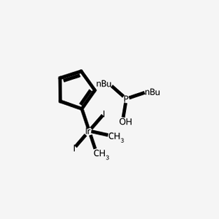 CCCCP(O)CCCC.[CH3][Ir]([CH3])([I])([I])[C]1=CC=CC1